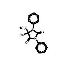 CCCCC1(C(=O)O)C(=O)N(c2ccccc2)C(=O)N1c1ccccc1